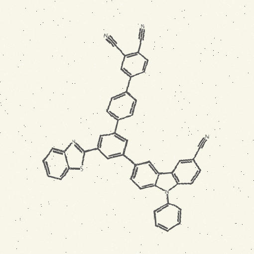 N#Cc1ccc2c(c1)c1cc(-c3cc(-c4ccc(-c5ccc(C#N)c(C#N)c5)cc4)cc(-c4nc5ccccc5s4)c3)ccc1n2-c1ccccc1